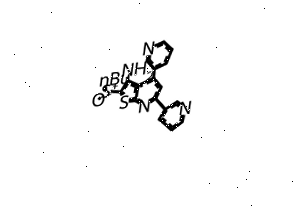 CCCC[S+]([O-])c1sc2nc(-c3cccnc3)cc(-c3cccnc3)c2c1N